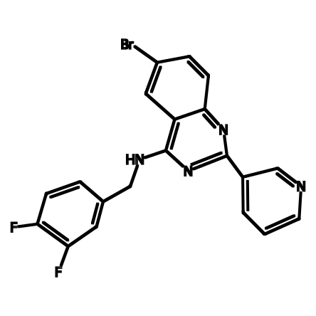 Fc1ccc(CNc2nc(-c3cccnc3)nc3ccc(Br)cc23)cc1F